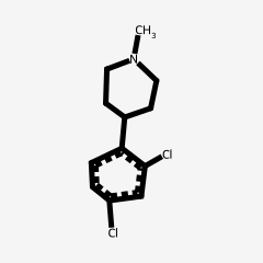 CN1CCC(c2ccc(Cl)cc2Cl)CC1